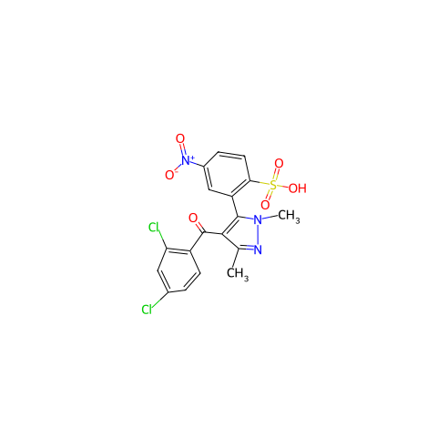 Cc1nn(C)c(-c2cc([N+](=O)[O-])ccc2S(=O)(=O)O)c1C(=O)c1ccc(Cl)cc1Cl